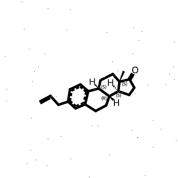 C=CCc1ccc2c(c1)CC[C@@H]1[C@@H]2CC[C@]2(C)C(=O)CC[C@@H]12